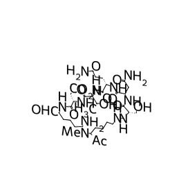 CNC(CCCCNN[C@@H](CO)C(=O)NC(CC(N)=O)C(=O)N[C@@H](CCC(N)=O)C(=O)N[C@H](C(=O)N[C@@H](CC(=O)O)C(=O)N[C@H](C=O)CCCCN)[C@@H](C)O)C(C)=O